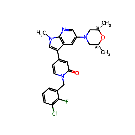 C[C@@H]1CN(c2cnc3c(c2)c(-c2ccn(Cc4cccc(Cl)c4F)c(=O)c2)cn3C)C[C@H](C)O1